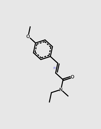 CCN(C)C(=O)/C=C/c1ccc(OC)cc1